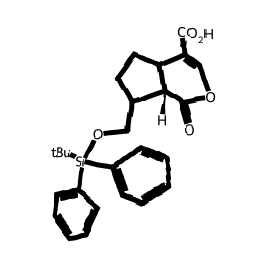 CC(C)(C)[Si](OCC1CCC2C(C(=O)O)=COC(=O)[C@H]12)(c1ccccc1)c1ccccc1